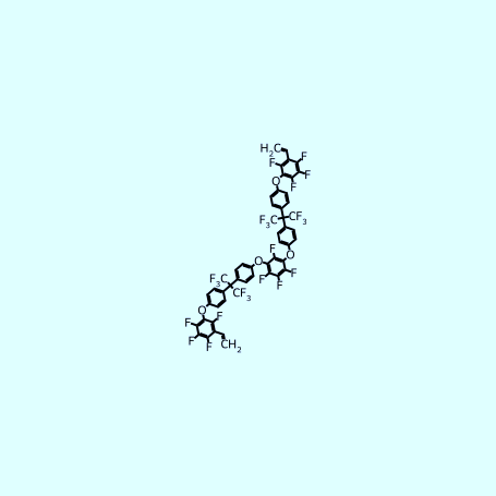 C=Cc1c(F)c(F)c(F)c(Oc2ccc(C(c3ccc(Oc4c(F)c(F)c(F)c(Oc5ccc(C(c6ccc(Oc7c(F)c(F)c(F)c(C=C)c7F)cc6)(C(F)(F)F)C(F)(F)F)cc5)c4F)cc3)(C(F)(F)F)C(F)(F)F)cc2)c1F